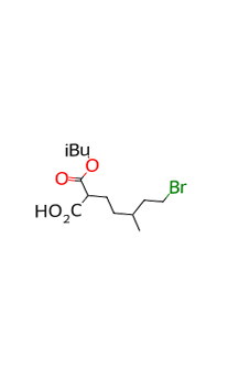 CCC(C)OC(=O)C(CCC(C)CCBr)C(=O)O